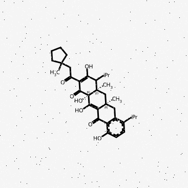 CC(C)c1ccc(O)c2c1C[C@]1(C)C[C@]3(C)C(C(C)C)C(O)=C(C(=O)CC4(C)CCCC4)C(=O)[C@]3(O)C(O)=C1C2=O